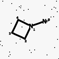 [N]N1CCC1